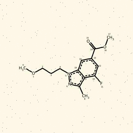 COCCCn1nc(C)c2c(F)cc(C(=O)OC)cc21